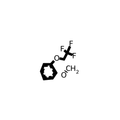 C=O.FC(F)(F)COc1ccccc1